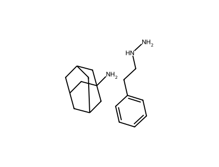 NC12CC3CC(CC(C3)C1)C2.NNCCc1ccccc1